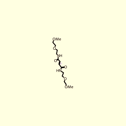 COCCOCCNC(=O)/C=C/C(=O)NCCOCCOC